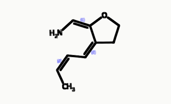 C\C=C/C=C1/CCO/C1=C/N